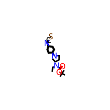 CCN(C(=O)OC(C)(C)C)C1CCN(c2ccc(N=C=S)cc2)C1